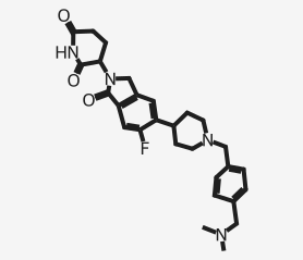 CN(C)Cc1ccc(CN2CCC(c3cc4c(cc3F)C(=O)N(C3CCC(=O)NC3=O)C4)CC2)cc1